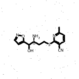 Cc1ccc(C#N)c(SCC[C@H](N)C(O)c2ccno2)n1